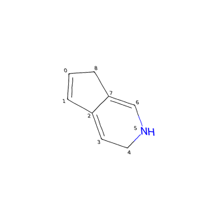 C1=CC2=CCNC=C2C1